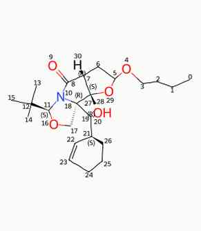 CCCCOC1C[C@H]2C(=O)N3[C@H](C(C)(C)C)OC[C@@]3([C@H](O)[C@@H]3C=CCCC3)[C@@]2(C)O1